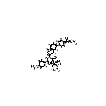 COC(=O)c1ccc(-c2ccc3c(c2)C[C@@H](N(C[C@H](O)c2ccc(C)cc2)C(=O)OC(C)(C)C)CC3)cc1